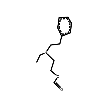 CCN(CCO[C]=O)CCc1ccccc1